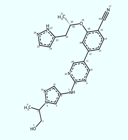 CC(CO)n1cc(Nc2ncc(-c3ccc(C#N)c(O[C@@H](C)Cc4ccn[nH]4)c3)cn2)cn1